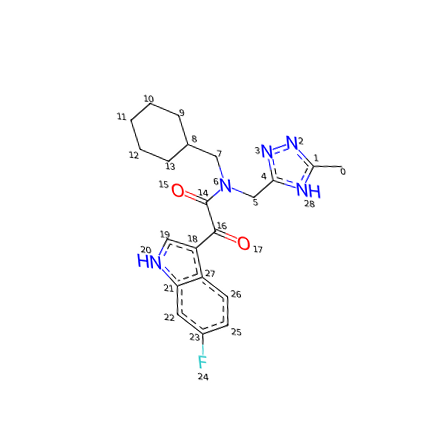 Cc1nnc(CN(CC2CCCCC2)C(=O)C(=O)c2c[nH]c3cc(F)ccc23)[nH]1